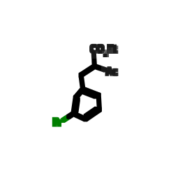 CCOC(=O)C(Cc1cccc(Br)c1)C(C)=O